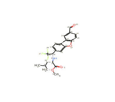 COC(=O)[C@H](CC(C)C)N[C@@H](c1ccc2c(c1)oc1ccc(C=O)cc12)C(F)(F)F